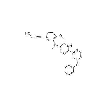 CN1C(=O)C(NC(=O)c2cc(Oc3ccccc3)ccn2)COc2ccc(C#CCO)cc21